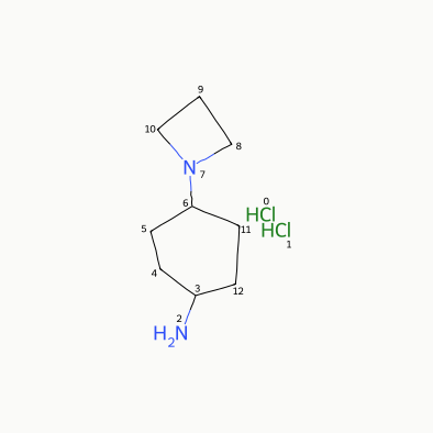 Cl.Cl.NC1CCC(N2CCC2)CC1